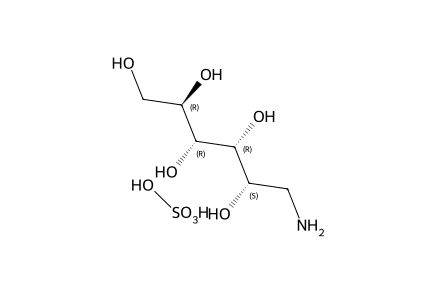 NC[C@H](O)[C@@H](O)[C@H](O)[C@H](O)CO.O=S(=O)(O)O